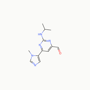 CC(C)Nc1nc(C=O)cc(-c2cncn2C)n1